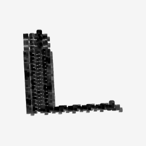 CCCCCC.CCCCCC.CCCCCC.CCCCCC.CCCCCC.CCCCCC.CCCCCC.CCCCCC.CCCCCC.CCCCCC.CCCCCC.CCCCCC.CCCCCC.CCCCCC.CCCCCC.CCCCCC.CCCCCC.CCCCCC.CCCCCC.CCCCCC.CCCCCC.CCOC(C)=O.CCOC(C)=O.CCOC(C)=O.CCOC(C)=O